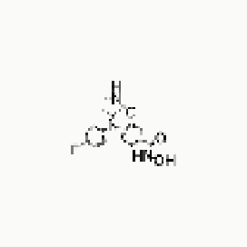 O=C(NO)c1ccc(N(c2ccc(F)cc2)C2CCNC2=O)cc1